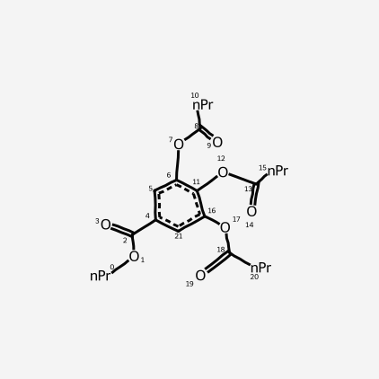 CCCOC(=O)c1cc(OC(=O)CCC)c(OC(=O)CCC)c(OC(=O)CCC)c1